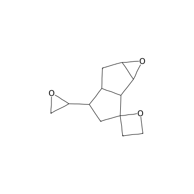 C1CC2(CC(C3CO3)C3CC4OC4C32)O1